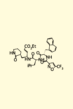 CCOC(=O)/C=C/[C@H](C[C@@H]1CCCNC1=O)NC(=O)[C@H](CC(C)C)NC(=O)[C@H](Cc1cccc2ccccc12)NC(=O)c1cc(C(F)(F)F)on1